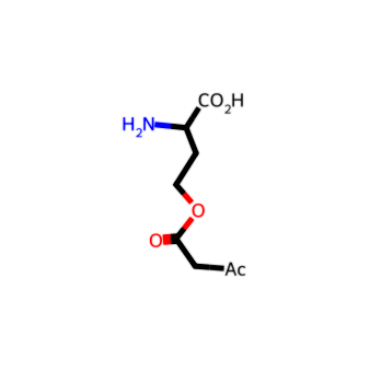 CC(=O)CC(=O)OCCC(N)C(=O)O